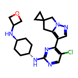 Clc1cnc(N[C@H]2CC[C@H](NC3COC3)CC2)nc1-c1cnn2c1CC1(CC1)C2